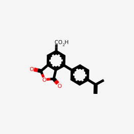 C=C(C)c1ccc(-c2cc(C(=O)O)cc3c2C(=O)OC3=O)cc1